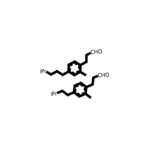 Cc1cc(CCC(C)C)ccc1CCC=O.Cc1cc(CCCC(C)C)ccc1CCC=O